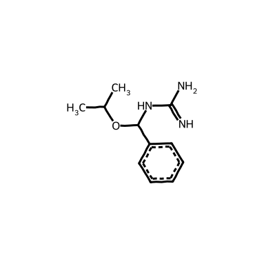 CC(C)OC(NC(=N)N)c1ccccc1